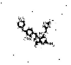 COc1cc(CN2CCN(C)CC2)ccc1Cn1nc(C)c2nc(N)nc(NCc3noc(C)n3)c21